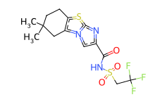 CC1(C)CCc2sc3nc(C(=O)NS(=O)(=O)CC(F)(F)F)cn3c2C1